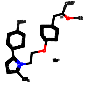 CCO[C@@H](Cc1ccc(OCCn2c(C)ccc2-c2ccc(SC)cc2)cc1)C(=O)[O-].[Na+]